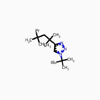 CC(C)C(C)(C)CC(C)(C)c1cn(C(C)(C)C(C)(C)C)nn1